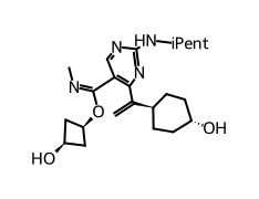 C=C(c1nc(NC(C)CCC)ncc1/C(=N\C)O[C@H]1C[C@@H](O)C1)[C@H]1CC[C@H](O)CC1